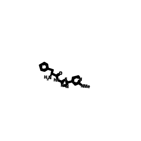 CNc1cc(-c2nnc(NC(=O)[C@@H](N)Cc3ccccc3)s2)ccn1